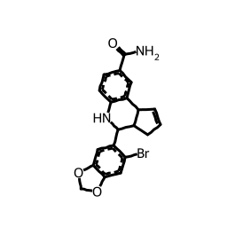 NC(=O)c1ccc2c(c1)C1C=CCC1C(c1cc3c(cc1Br)OCO3)N2